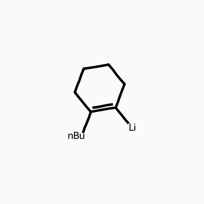 [Li][C]1=C(CCCC)CCCC1